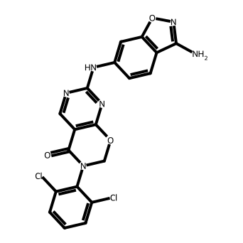 Nc1noc2cc(Nc3ncc4c(n3)OCN(c3c(Cl)cccc3Cl)C4=O)ccc12